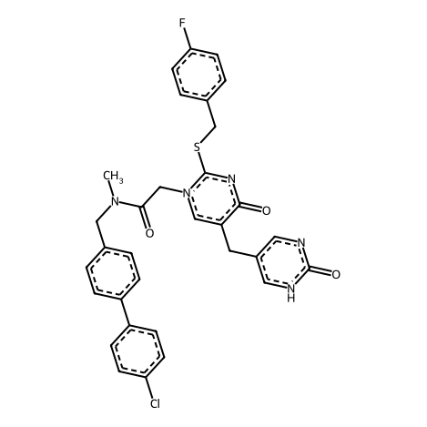 CN(Cc1ccc(-c2ccc(Cl)cc2)cc1)C(=O)Cn1cc(Cc2cnc(=O)[nH]c2)c(=O)nc1SCc1ccc(F)cc1